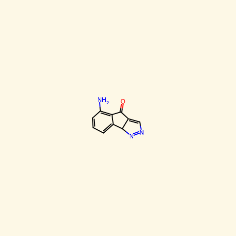 Nc1cccc2c1C(=O)C1=CN=NC12